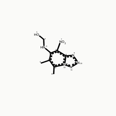 Cc1c(NCO)c([N+](=O)[O-])c2nnnn2c1C